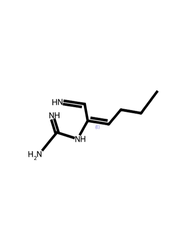 CCC/C=C(\C=N)NC(=N)N